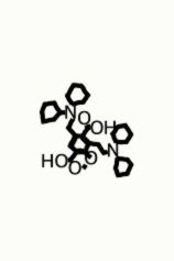 COc1c(C(=O)O)cc(CCN(C2CCCCC2)C2CCCCC2)c(C(=O)O)c1CCN(C1CCCCC1)C1CCCCC1